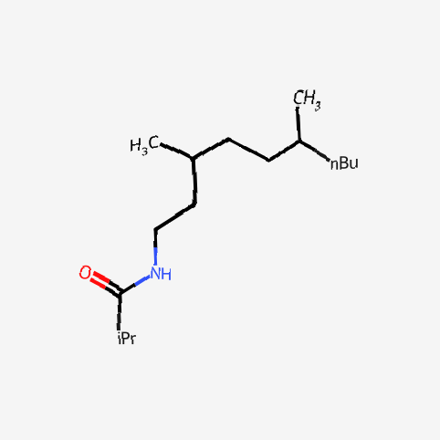 CCCCC(C)CCC(C)CCNC(=O)C(C)C